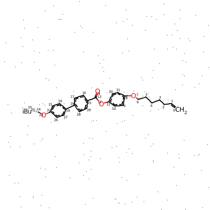 C=CCCCCCOc1ccc(OC(=O)c2ccc(-c3ccc(OC[C@@H](C)CC)cc3)cc2)cc1